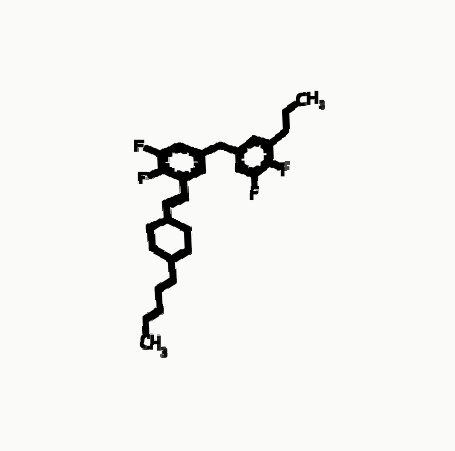 CCCCCC1CCC(C=Cc2cc(Cc3cc(F)c(F)c(CCC)c3)cc(F)c2F)CC1